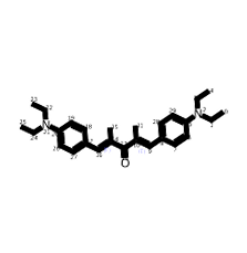 CCN(CC)c1ccc(/C=C(\C)C(=O)/C(C)=C/c2ccc(N(CC)CC)cc2)cc1